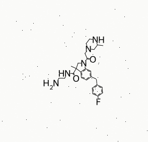 CC1CN(CC(=O)N2CC(C)(C(=O)NCCN)c3ccc(Cc4ccc(F)cc4)cc32)CCN1